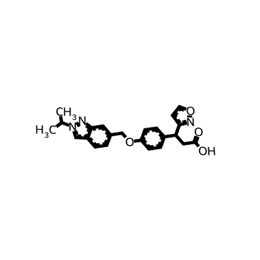 CC(C)n1cc2ccc(COc3ccc(C(CC(=O)O)c4ccon4)cc3)cc2n1